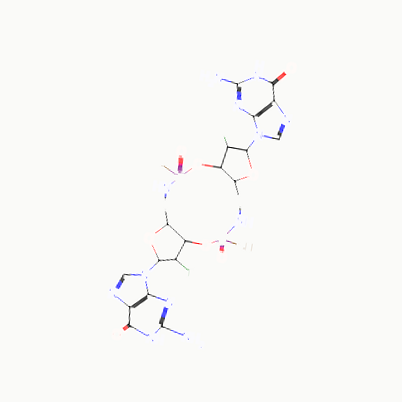 Nc1nc2c(ncn2C2OC3CNP(=O)(S)OC4C(CNP(=O)(S)OC3C2F)OC(n2cnc3c(=O)[nH]c(N)nc32)C4F)c(=O)[nH]1